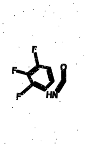 Fc1cccc(F)c1F.N=C=O